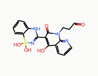 O=CCCn1c(=O)c(C2=NS(O)(O)c3ccccc3N2)c(O)c2cccnc21